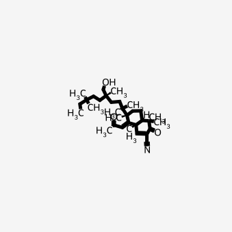 CCC(C)(C)CC[C@](C)(CO)CCC(C)(C)[C@]1(C)CC[C@H]2C(C)(C)C(=O)C(C#N)=C[C@]2(C)/C1=C/C(C)=O